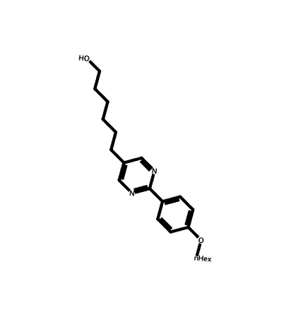 CCCCCCOc1ccc(-c2ncc(CCCCCCO)cn2)cc1